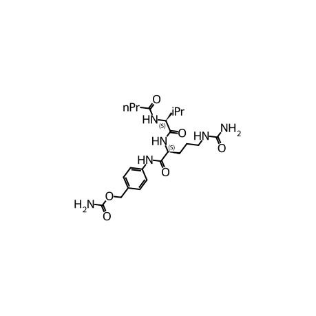 CCCC(=O)N[C@H](C(=O)N[C@@H](CCCNC(N)=O)C(=O)Nc1ccc(COC(N)=O)cc1)C(C)C